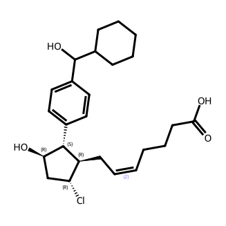 O=C(O)CCC/C=C\C[C@@H]1[C@@H](c2ccc(C(O)C3CCCCC3)cc2)[C@H](O)C[C@H]1Cl